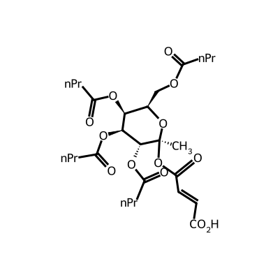 CCCC(=O)OC[C@H]1O[C@@](C)(OC(=O)/C=C/C(=O)O)[C@H](OC(=O)CCC)[C@@H](OC(=O)CCC)[C@H]1OC(=O)CCC